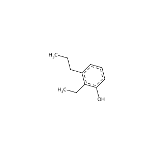 CCCc1cccc(O)c1CC